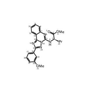 COC(=O)[C@H](Nc1nc2ccccc2c2nc(-c3cccc(OC)c3)nn12)C(C)C